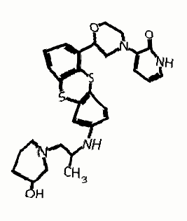 CC(CN1CCCC(O)C1)Nc1ccc2c(c1)Sc1cccc(C3CN(c4ccc[nH]c4=O)CCO3)c1S2